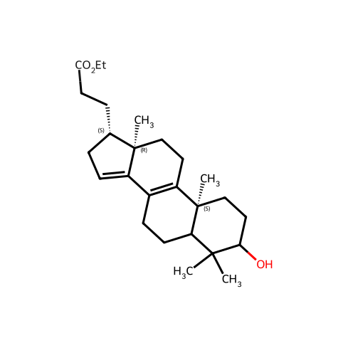 CCOC(=O)CC[C@H]1CC=C2C3=C(CC[C@@]21C)[C@@]1(C)CCC(O)C(C)(C)C1CC3